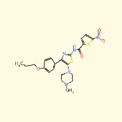 CCCOc1ccc(-c2nc(NC(=O)c3ccc([N+](=O)[O-])s3)sc2N2CCN(C)CC2)cc1